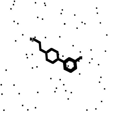 NCCN1CCN(c2cccc(Cl)c2)CC1